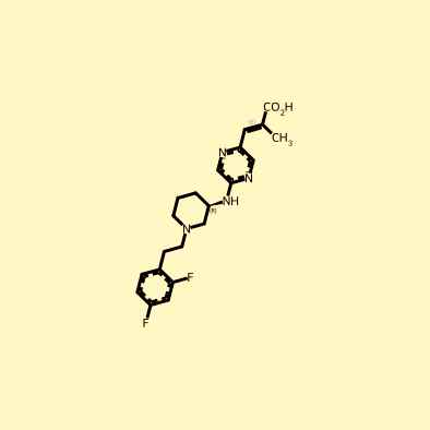 C/C(=C\c1cnc(N[C@@H]2CCCN(CCc3ccc(F)cc3F)C2)cn1)C(=O)O